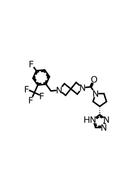 O=C(N1CC[C@H](c2nnc[nH]2)C1)N1CC2(CN(Cc3ccc(F)cc3C(F)(F)F)C2)C1